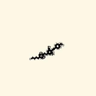 CCCCCC1COC(CCc2cc(F)c(C#CC3CCC(CC)CC3)c(F)c2)OC1